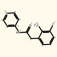 O=C(Cc1cccc(F)c1C(F)(F)F)Nc1ccncc1